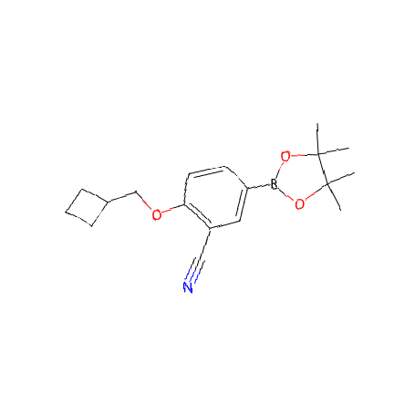 CC1(C)OB(c2ccc(OCC3CCC3)c(C#N)c2)OC1(C)C